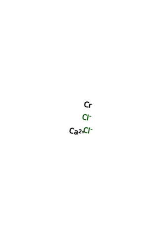 [Ca+2].[Cl-].[Cl-].[Cr]